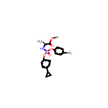 CC(C)OC(=O)[C@H](C)NP(=O)(Oc1ccc(C2CC2)cc1)Oc1ccc([N+](=O)[O-])cc1